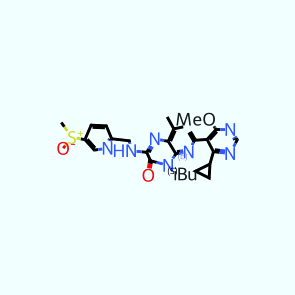 C=C(/N=C1\C(=C(C)C)N=C(NCc2ccc([S+](C)[O-])cn2)C(=O)N1[C@@H](C)CC)c1c(OC)ncnc1C1CC1